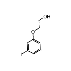 OCCOc1c[c]cc(I)c1